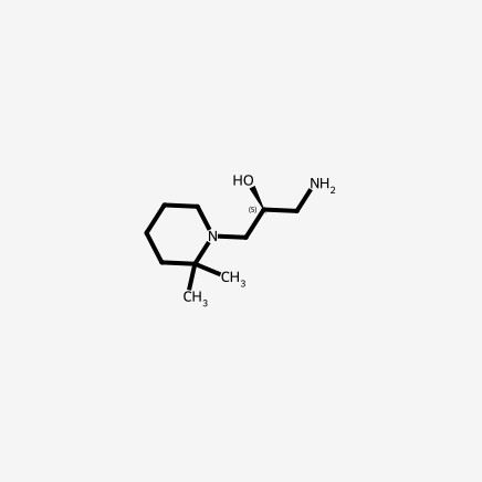 CC1(C)CCCCN1C[C@@H](O)CN